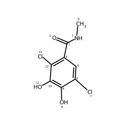 CNC(=O)c1cc(Cl)c(O)c(O)c1Cl